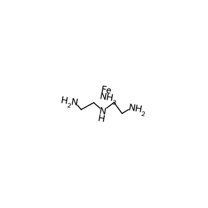 N.NCCNCCN.[Fe]